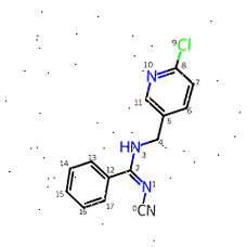 N#CN=C(NCc1ccc(Cl)nc1)c1ccccc1